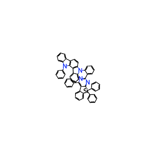 c1ccc(-c2nc(-c3ccccc3-n3c4ccccc4c4c3ccc3c5ccccc5n(-c5ccccc5)c34)nc3c2-c2ccccc2[Si]3(c2ccccc2)c2ccccc2)cc1